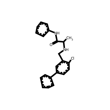 CC(NCc1cc(-c2ccccc2)ccc1Cl)C(=O)Nc1ccccc1